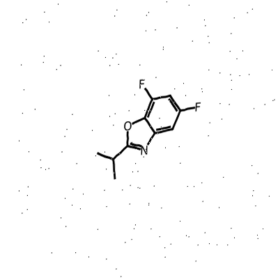 CC(C)c1nc2cc(F)cc(F)c2o1